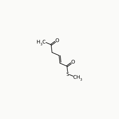 CSC(=O)C=CCC(C)=O